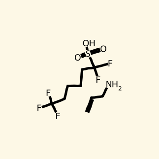 C=CCN.O=S(=O)(O)C(F)(F)CCCCC(F)(F)F